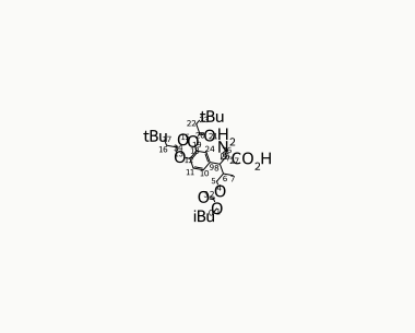 CCC(C)OC(=O)OCC(C)C(c1ccc(OC(=O)CC(C)(C)C)c(OC(=O)CC(C)(C)C)c1)[C@H](N)C(=O)O